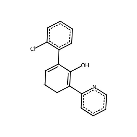 OC1=C(c2ccccn2)C[CH]C=C1c1ccccc1Cl